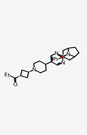 CCC(=O)[C@H]1C[C@@H](N2CCC(c3cnc(N4C5CCC4CN(C(C)C)C5)nc3)CC2)C1